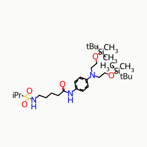 CC(C)S(=O)(=O)NCCCCC(=O)Nc1ccc(N(CCO[Si](C)(C)C(C)(C)C)CCO[Si](C)(C)C(C)(C)C)cc1